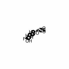 C[C@]12CC[C@@H]3[C@H]4CC[C@]5(O)C(F)C5[C@H]4CC[C@H]3[C@@H]1CC[C@@H]2C(=O)CN1CCN(S(C)(=O)=O)CC1